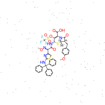 CON=C(C(=O)NC1S[C@H]2[C@H](Cc3ccc(OC)cc3)C(=O)N2C(C(=O)O)=C1OS(=O)(=O)C(F)(F)F)c1csc(NC(c2ccccc2)(c2ccccc2)c2ccccc2)n1